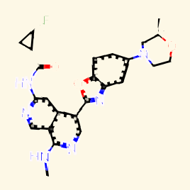 CNc1ncc(-c2nc3cc(N4CCO[C@H](C)C4)ccc3o2)c2cc(NC(=O)[C@@H]3C[C@@H]3F)ncc12